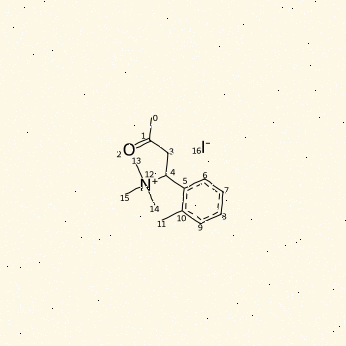 CC(=O)CC(c1ccccc1C)[N+](C)(C)C.[I-]